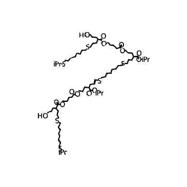 CC(C)OC(=O)C(CCCOC(=O)CCCCOC(=O)C(CCCO)CCCSCCCCCCCCSC(C)C)CCCSCCCCCCCCSCCCC(CCCOC(=O)CCCCOC(=O)C(CCCO)CCCSCCCCCCCCSC(C)C)C(=O)OC(C)C